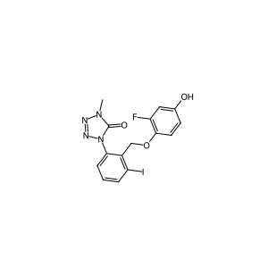 Cn1nnn(-c2cccc(I)c2COc2ccc(O)cc2F)c1=O